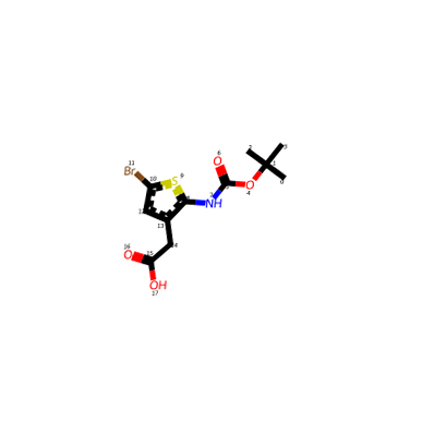 CC(C)(C)OC(=O)Nc1sc(Br)cc1CC(=O)O